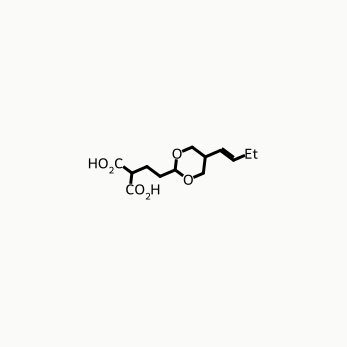 CCC=CC1COC(CCC(C(=O)O)C(=O)O)OC1